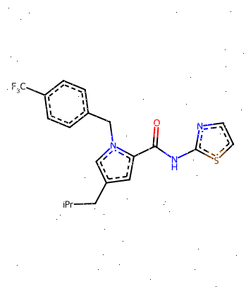 CC(C)Cc1cc(C(=O)Nc2nccs2)n(Cc2ccc(C(F)(F)F)cc2)c1